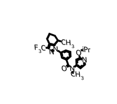 CC(C)Oc1cc(N(C)C(=O)c2cccc(-n3nc(C(F)(F)F)c4c3C(C)CCC4)c2)ccn1